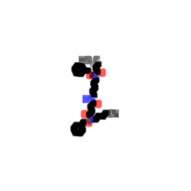 N#CCCCCN(OCc1ccccc1)C(=O)CCC(=O)NCCCCCN(OCc1ccccc1)C(=O)CCC(=O)O